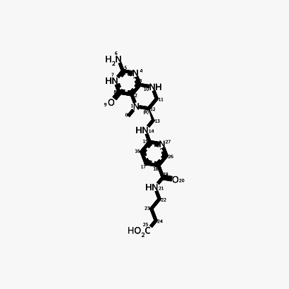 CN1c2c(nc(N)[nH]c2=O)NC[C@H]1CNc1ccc(C(=O)NCCCC(=O)O)cn1